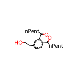 CCCCCC(=O)c1ccc(CCO)cc1C(=O)CCCCC